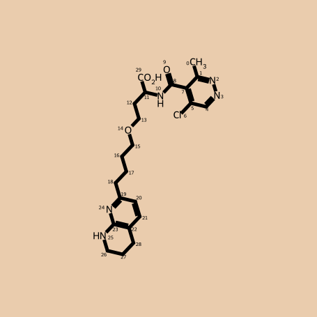 Cc1nncc(Cl)c1C(=O)NC(CCOCCCCc1ccc2c(n1)NCCC2)C(=O)O